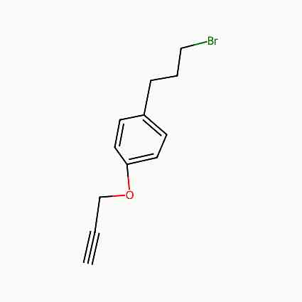 C#CCOc1ccc(CCCBr)cc1